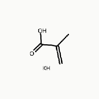 C=C(C)C(=O)O.[KH]